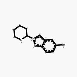 Brc1ccc2nn(C3CCCCO3)cc2c1